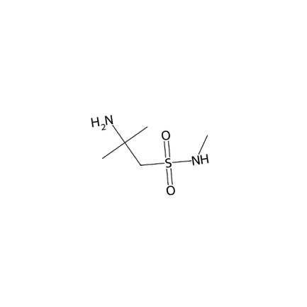 CNS(=O)(=O)CC(C)(C)N